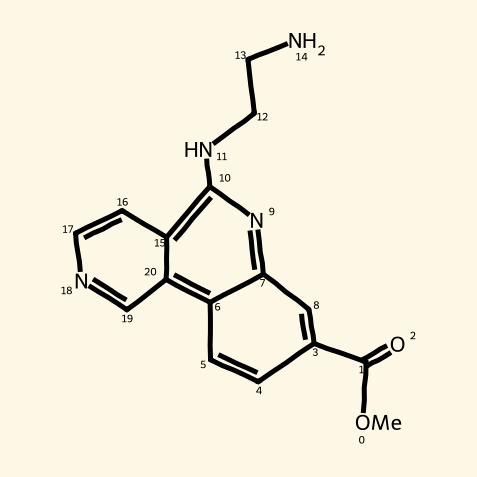 COC(=O)c1ccc2c(c1)nc(NCCN)c1ccncc12